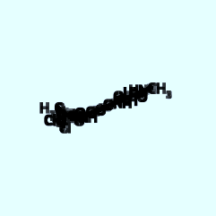 CCCNC(=O)NCCCCNC(=O)NCCOCCOCCOCCNS(=O)(=O)c1ccc(C2CN(C)Cc3c(Cl)cc(Cl)cc32)cc1